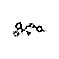 O=C(c1ccccc1-n1cnnn1)N(Cc1nnc(-c2ccc(Cl)cc2)o1)C1CC1